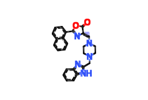 O=C1OC(c2cccc3ccccc23)=N/C1=C\N1CCN(Cc2nc3ccccc3[nH]2)CC1